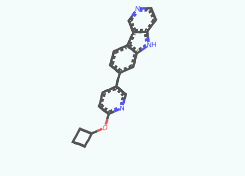 c1cc2[nH]c3cc(-c4ccc(OC5CCC5)nc4)ccc3c2cn1